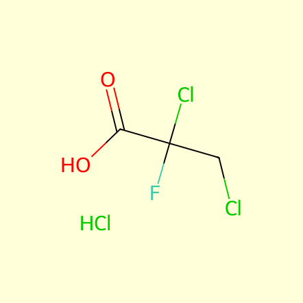 Cl.O=C(O)C(F)(Cl)CCl